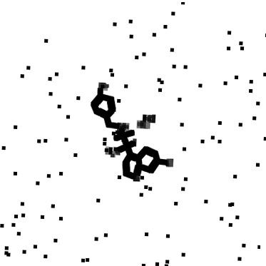 CC(C)c1ccc(CNC(C)(C)C(N)(I)c2ccnc3cc(Cl)ccc23)cc1.Cl.Cl